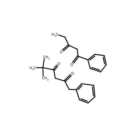 CC(C)(C)C(=O)CC(=O)Cc1ccccc1.CCC(=O)CC(=O)c1ccccc1